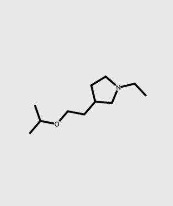 CCN1CCC(CCOC(C)C)C1